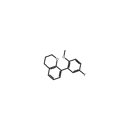 COc1ccc(F)cc1-c1cccc2c1OCCC2